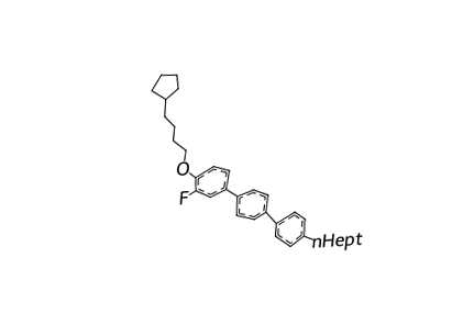 CCCCCCCc1ccc(-c2ccc(-c3ccc(OCCCCC4CCCC4)c(F)c3)cc2)cc1